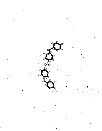 c1ccc(Cc2ccc(N=Nc3ccc(Cc4ccccc4)cc3)cc2)cc1